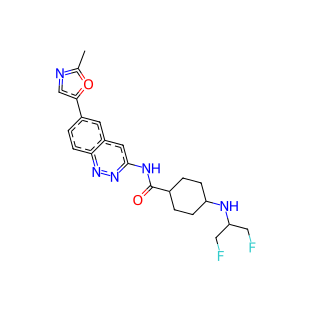 Cc1ncc(-c2ccc3nnc(NC(=O)C4CCC(NC(CF)CF)CC4)cc3c2)o1